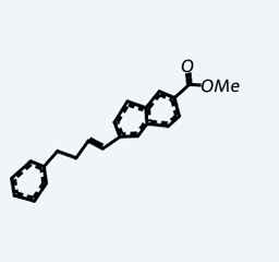 COC(=O)c1ccc2cc(/C=C/CCc3ccccc3)ccc2c1